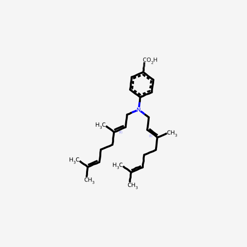 CC(C)=CCC/C(C)=C/CN(C/C=C(\C)CCC=C(C)C)c1ccc(C(=O)O)cc1